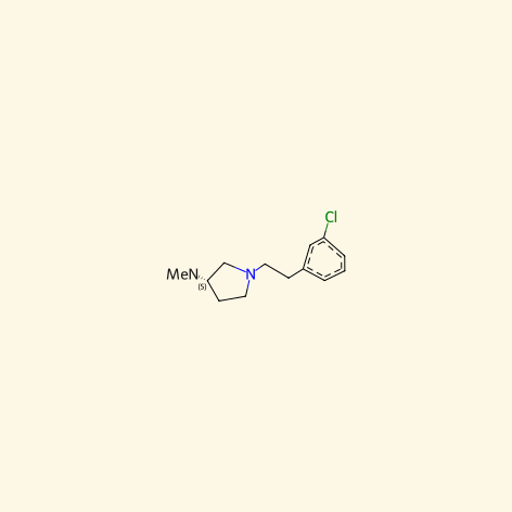 CN[C@H]1CCN(CCc2cccc(Cl)c2)C1